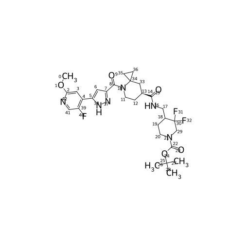 COc1cc(-c2cc(C(=O)N3CC[C@H](C(=O)NCC4CCN(C(=O)OC(C)(C)C)CC4(F)F)CC34CC4)n[nH]2)c(F)cn1